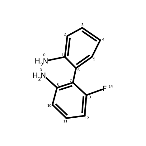 Nc1ccccc1-c1c(N)cccc1F